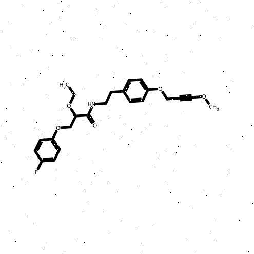 CCOC(COc1ccc(F)cc1)C(=O)NCCc1ccc(OCC#COC)cc1